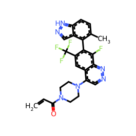 C=CC(=O)N1CCN(c2cnnc3c(F)c(-c4c(C)ccc5[nH]ncc45)c(C(F)(F)F)cc23)CC1